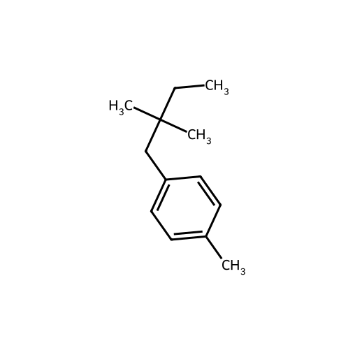 CCC(C)(C)Cc1ccc(C)cc1